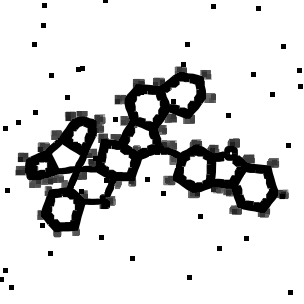 c1ccc2c(c1)Sc1cc3c(cc1C21c2ccccc2-c2ccccc21)c1ccc2ccccc2c1n3-c1ccc2c(c1)oc1ccccc12